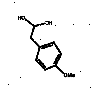 COc1ccc(CC(O)O)cc1